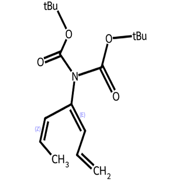 C=C/C=C(\C=C/C)N(C(=O)OC(C)(C)C)C(=O)OC(C)(C)C